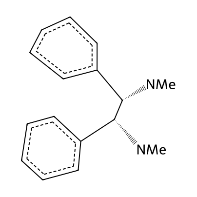 CN[C@H](c1ccccc1)[C@@H](NC)c1ccccc1